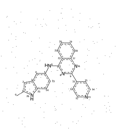 Cc1cc2cc(Nc3nc(-c4ccncc4)nc4ccccc34)ccc2[nH]1